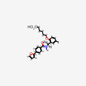 [2H]C([2H])(c1cc(C)ccc1OCCCCCC(=O)O)N(C)C(=O)c1ccc(-c2ccco2)cc1